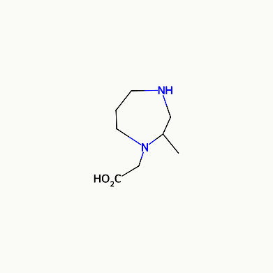 CC1CNCCCN1CC(=O)O